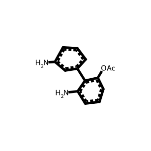 CC(=O)Oc1cccc(N)c1-c1cccc(N)c1